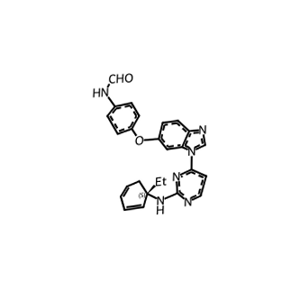 CC[C@@]1(Nc2nccc(-n3cnc4ccc(Oc5ccc(NC=O)cc5)cc43)n2)C=CC=CC1